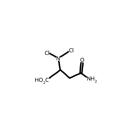 NC(=O)CC(C(=O)O)N(Cl)Cl